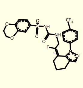 O=C(NC/C(F)=C1/CCCc2cnn(-c3ccc(C(F)(F)F)cc3)c21)NS(=O)(=O)c1ccc2c(c1)OCCO2